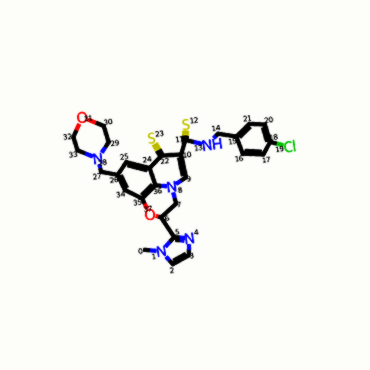 Cn1ccnc1C1Cn2cc(C(=S)NCc3ccc(Cl)cc3)c(=S)c3cc(CN4CCOCC4)cc(c32)O1